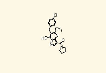 Cc1nc2c(C(=O)N3CCCC3)cnn2c(O)c1Cc1ccc(Cl)cc1